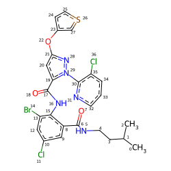 CC(C)CCNC(=O)c1cc(Cl)cc(Br)c1NC(=O)c1cc(Oc2ccsc2)nn1-c1ncccc1Cl